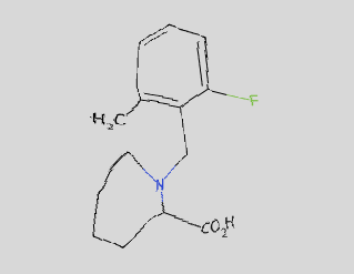 [CH2]c1cccc(F)c1CN1CCCCC1C(=O)O